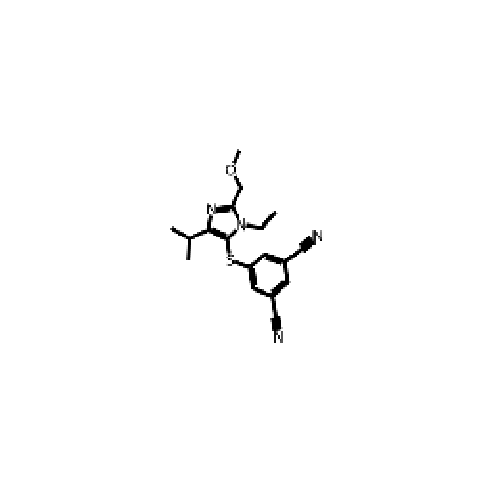 CCn1c(COC)nc(C(C)C)c1Sc1cc(C#N)cc(C#N)c1